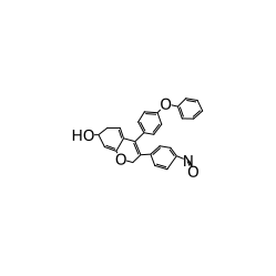 O=Nc1ccc(C2=C(c3ccc(Oc4ccccc4)cc3)C3=CCC(O)C=C3OC2)cc1